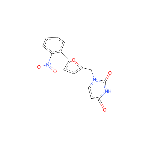 O=c1ccn(Cc2ccc(-c3ccccc3[N+](=O)[O-])o2)c(=O)[nH]1